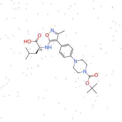 Cc1noc(N[C@@H](CC(C)C)C(=O)O)c1-c1ccc(N2CCN(C(=O)OC(C)(C)C)CC2)cc1